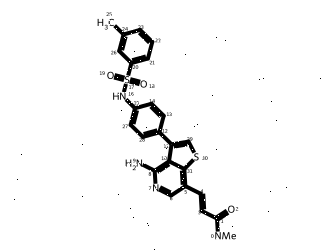 CNC(=O)C=Cc1cnc(N)c2c(-c3ccc(NS(=O)(=O)c4cccc(C)c4)cc3)csc12